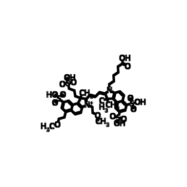 COCCc1cc(S(=O)(=O)O)cc2c3c(ccc12)[N+](CCOC)=C(/C=C/C=C1/N(CCCCCC(=O)O)c2ccc4c(S(=O)(=O)O)cc(S(=O)(=O)O)cc4c2C1(C)C)C3(C)CCCS(=O)(=O)O